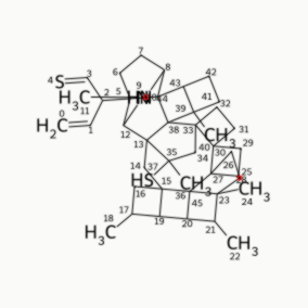 C=CC(C=S)C12CCC3NN(C)C1C14CC56CC(C)C5C5C(C)C7(C)CCC8(CCC89CCC9(CC1(C)S)C41C4(C)CCC4C321)C576